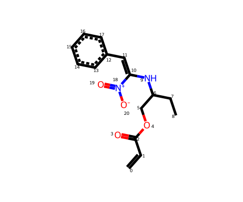 C=CC(=O)OCC(CC)NC(=Cc1ccccc1)[N+](=O)[O-]